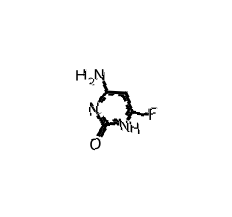 Nc1cc(F)[nH]c(=O)n1